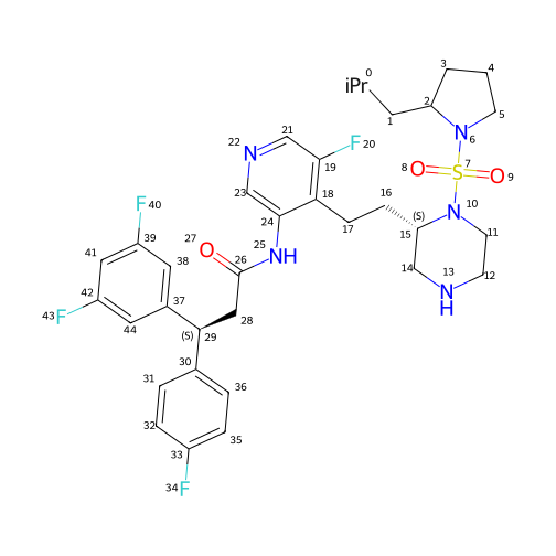 CC(C)CC1CCCN1S(=O)(=O)N1CCNC[C@@H]1CCc1c(F)cncc1NC(=O)C[C@@H](c1ccc(F)cc1)c1cc(F)cc(F)c1